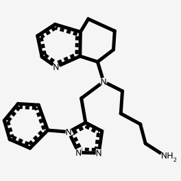 NCCCCN(Cc1cnnn1-c1ccccc1)C1CCCc2cccnc21